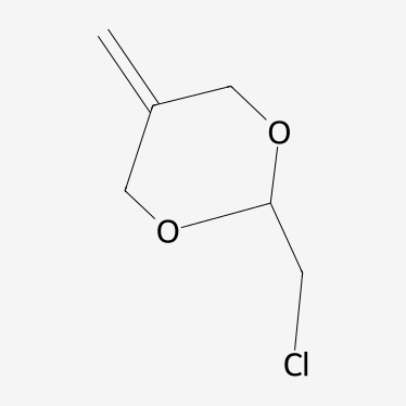 C=C1COC(CCl)OC1